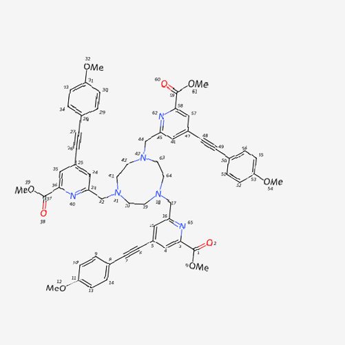 COC(=O)c1cc(C#Cc2ccc(OC)cc2)cc(CN2CCN(Cc3cc(C#Cc4ccc(OC)cc4)cc(C(=O)OC)n3)CCN(Cc3cc(C#Cc4ccc(OC)cc4)cc(C(=O)OC)n3)CC2)n1